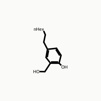 CCCCCCCCc1ccc(O)c(CO)c1